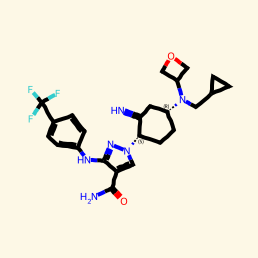 N=C1C[C@H](N(CC2CC2)C2COC2)CC[C@@H]1n1cc(C(N)=O)c(Nc2ccc(C(F)(F)F)cc2)n1